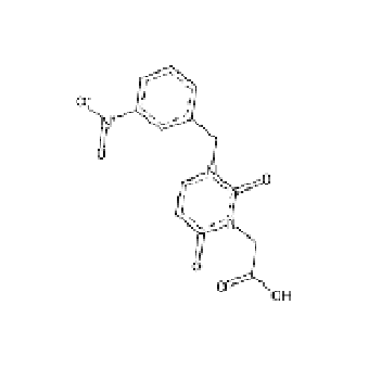 O=C(O)Cn1c(=O)ccn(Cc2cccc([N+](=O)[O-])c2)c1=O